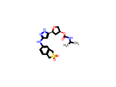 CC(C)NC(=O)O[C@@H]1CO[C@H](c2cc(Nc3ccc4c(c3)CS(=O)(=O)C4)n[nH]2)C1